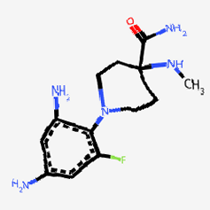 CNC1(C(N)=O)CCN(c2c(N)cc(N)cc2F)CC1